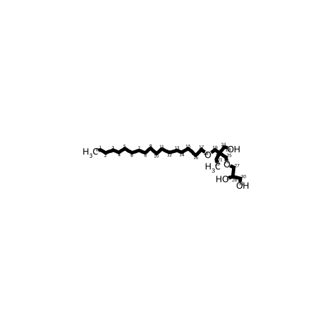 CCCCCCCCCCCCCCCCCCOCC(CC)(CO)COCC(O)CO